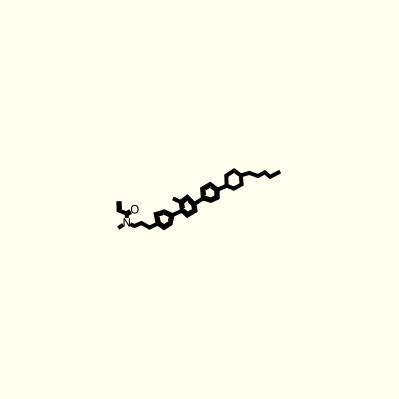 C=CC(=O)N(C)CCCc1ccc(-c2ccc(-c3ccc(C4CCC(CCCCC)CC4)cc3)cc2C)cc1